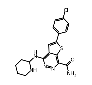 NC(=O)c1nnc(NC2CCCCN2)c2cc(-c3ccc(Cl)cc3)sc12